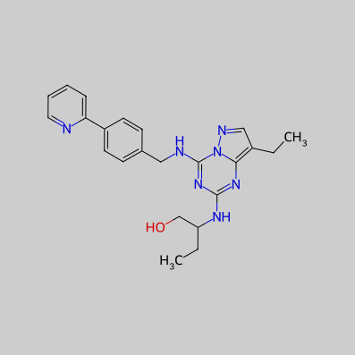 CCc1cnn2c(NCc3ccc(-c4ccccn4)cc3)nc(NC(CC)CO)nc12